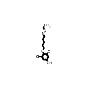 Oc1cc(Cl)c(OCCCC/C=N/OCC(Cl)(Cl)Cl)c(Cl)c1